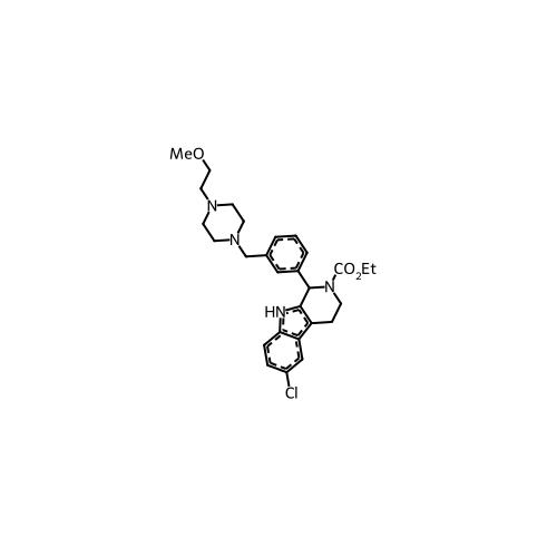 CCOC(=O)N1CCc2c([nH]c3ccc(Cl)cc23)C1c1cccc(CN2CCN(CCOC)CC2)c1